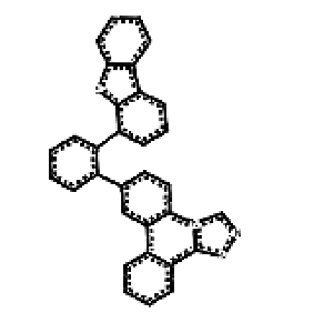 c1ccc(-c2cccc3c2sc2ccccc23)c(-c2ccc3c(c2)c2ccccc2c2nncn32)c1